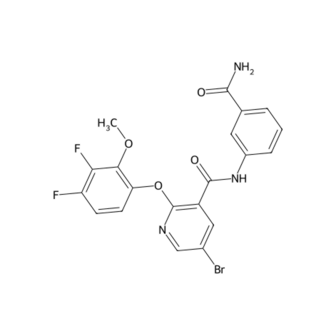 COc1c(Oc2ncc(Br)cc2C(=O)Nc2cccc(C(N)=O)c2)ccc(F)c1F